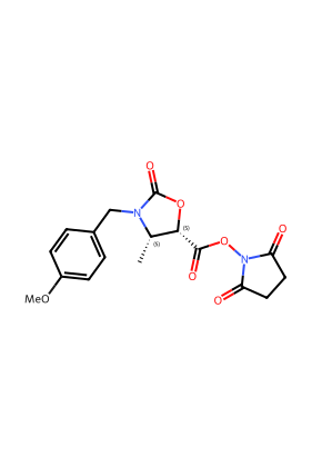 COc1ccc(CN2C(=O)O[C@H](C(=O)ON3C(=O)CCC3=O)[C@@H]2C)cc1